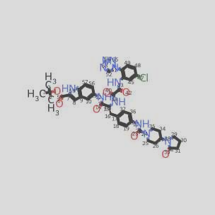 CC(C)(C)OC(=O)c1cc2cc(NC(=O)[C@H](Cc3ccc(NC(=O)N4CCC(N5CCCC5=O)CC4)cc3)NC(=O)C(=O)Nc3cc(Cl)ccc3-n3cnnn3)ccc2[nH]1